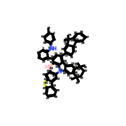 Cc1ccc(Nc2ccccc2-c2cc(-c3ccc4c(c3)C(C)(C)c3ccccc3-4)c3c4cc5c(cc4n4c3c2Bc2cc3sc6ccccc6c3cc2-4)C(C)(C)CCC5(C)C)cc1